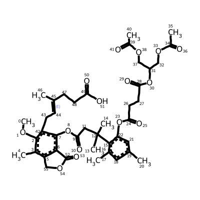 COc1c(C)c2c(c(OC(=O)CC(C)(C)c3c(C)cc(C)cc3OC(=O)CCC(=O)OC(COC(C)=O)COC(C)=O)c1C/C=C(\C)CCC(=O)O)C(=O)OC2